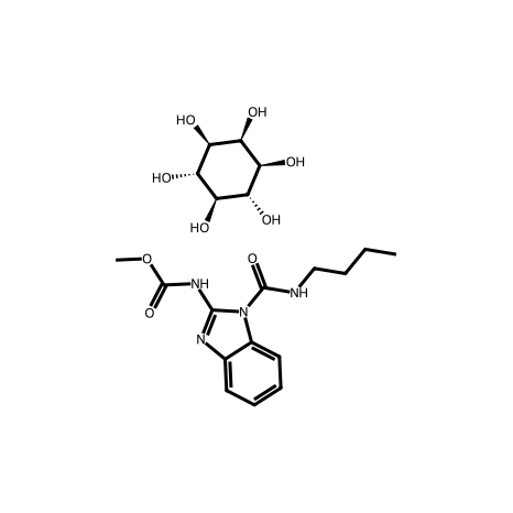 CCCCNC(=O)n1c(NC(=O)OC)nc2ccccc21.O[C@H]1[C@H](O)[C@@H](O)[C@H](O)[C@@H](O)[C@H]1O